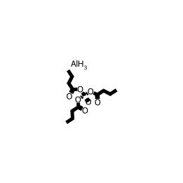 CCCC(=O)OP(=O)(OC(=O)CCC)OC(=O)CCC.[AlH3]